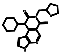 O=c1c2cnc3[nH]ccc3c2n(C2CCCCC2)c(=O)n1CC1CCCO1